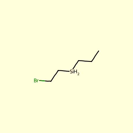 CCC[SiH2]CCBr